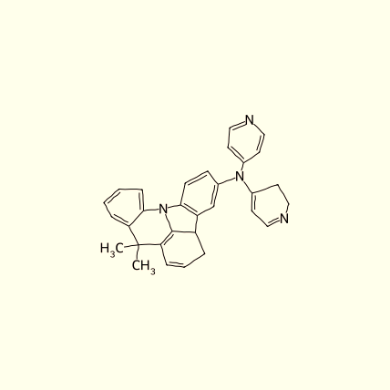 CC1(C)C2=C3C(CC=C2)c2cc(N(C4=CC=NCC4)c4ccncc4)ccc2N3c2ccccc21